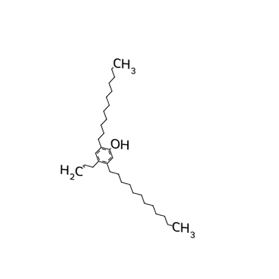 C=CCc1cc(CCCCCCCCCCCC)c(O)cc1CCCCCCCCCCCC